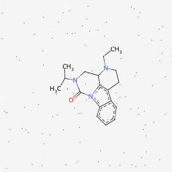 CCN1CCc2c3n(c4ccccc24)C(=O)N(C(C)C)CC31